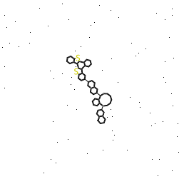 c1cccc(-c2ccc3cc(-c4ccc5sc6c(c5c4)c4ccccc4c4sc5ccccc5c46)ccc3c2)c2ccccc2c(-c2ccc3ccccc3c2)cc1